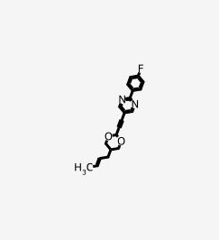 C/C=C/CC1COC(C#Cc2cnc(-c3ccc(F)cc3)nc2)OC1